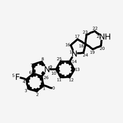 Cc1ccc(F)c2ccn(-c3cccc(N4CCC5(CCNCC5)C4)c3)c12